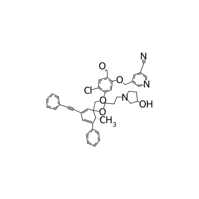 C[C@@H]1C(c2ccccc2)=CC(C#Cc2ccccc2)=CC1(COc1cc(OCc2cncc(C#N)c2)c(C=O)cc1Cl)OCCCN1CCC(O)C1